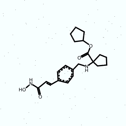 O=C(C=Cc1ccc(CNC2(C(=O)OC3CCCC3)CCCC2)cc1)NO